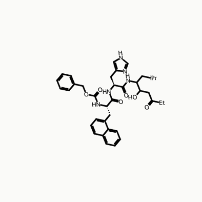 CCC(=O)CC(O)C(CC(C)C)NC(=O)[C@H](Cc1c[nH]cn1)NC(=O)[C@H](Cc1cccc2ccccc12)NC(=O)OCc1ccccc1